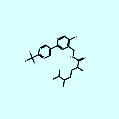 CC(CCC(C)C(C)C)C(=O)NCc1cc(-c2cnc(C(F)(F)F)nc2)ncc1Cl